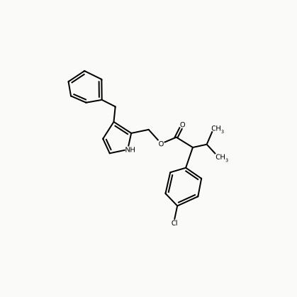 CC(C)C(C(=O)OCc1[nH]ccc1Cc1ccccc1)c1ccc(Cl)cc1